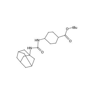 CC(C)(C)OC(=O)C1CCC(NC(=O)NC23CC4CC(CC(C4)C2)C3)CC1